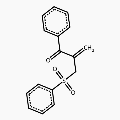 C=C(CS(=O)(=O)c1ccccc1)C(=O)c1ccccc1